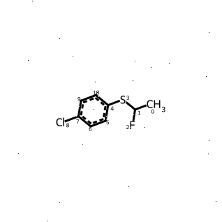 CC(F)Sc1ccc(Cl)cc1